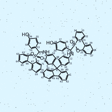 O=P1(C(Nc2ccc(C3(c4ccc(NC(c5ccc(O)cc5)P5(=O)Oc6ccccc6-c6ccccc65)cc4)c4ccccc4-c4ccccc43)cc2)c2ccc(O)cc2)Oc2ccccc2-c2ccccc21